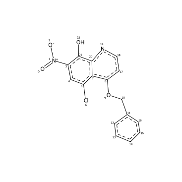 O=[N+]([O-])c1cc(Cl)c2c(OCc3ccccc3)ccnc2c1O